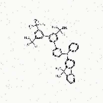 CC(C)(C)c1cc(-c2cccc(N(c3ccccc3)c3ccc4c(c3)C(C)(C)c3ccccc3-4)c2)cc(-c2cc(C(C)(C)C)cc(C(C)(C)C)c2)c1